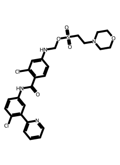 O=C(Nc1ccc(Cl)c(-c2ccccn2)c1)c1ccc(NCOS(=O)(=O)CCN2CCOCC2)cc1Cl